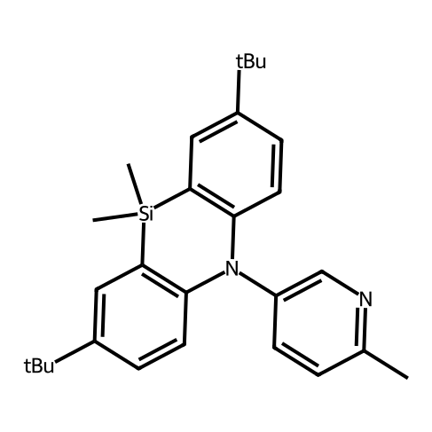 Cc1ccc(N2c3ccc(C(C)(C)C)cc3[Si](C)(C)c3cc(C(C)(C)C)ccc32)cn1